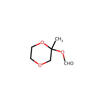 CC1(OC=O)COCCO1